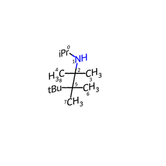 CC(C)NC(C)(C)C(C)(C)C(C)(C)C